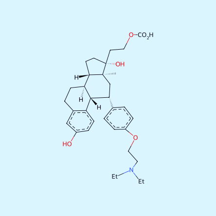 CCN(CC)CCOc1ccc([C@H]2C[C@@]3(C)[C@@H](CC[C@@]3(O)CCOC(=O)O)[C@@H]3CCc4cc(O)ccc4[C@H]32)cc1